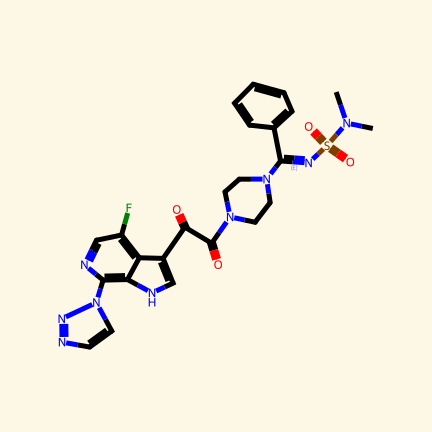 CN(C)S(=O)(=O)/N=C(\c1ccccc1)N1CCN(C(=O)C(=O)c2c[nH]c3c(-n4ccnn4)ncc(F)c23)CC1